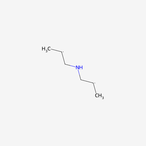 C[CH]CNC[CH]C